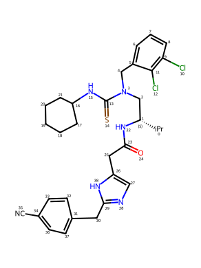 CC(C)[C@@H](CN(Cc1cccc(Cl)c1Cl)C(=S)NC1CCCCC1)NC(=O)Cc1cnc(Cc2ccc(C#N)cc2)[nH]1